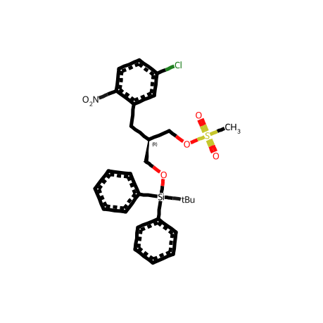 CC(C)(C)[Si](OC[C@H](COS(C)(=O)=O)Cc1cc(Cl)ccc1[N+](=O)[O-])(c1ccccc1)c1ccccc1